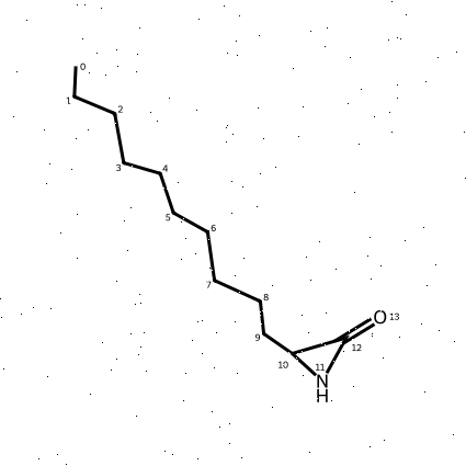 CCCCCCCCCCC1NC1=O